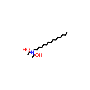 CCCCCCCCCCCCCCCN(C(C)O)C(C)O